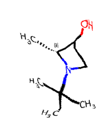 C[C@@H]1C(O)CN1C(C)(C)C